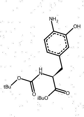 CC(C)COC(=O)[C@H](Cc1ccc(N)c(O)c1)NC(=O)OC(C)(C)C